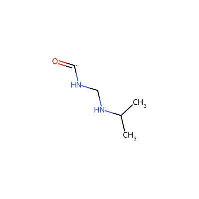 CC(C)NCN[C]=O